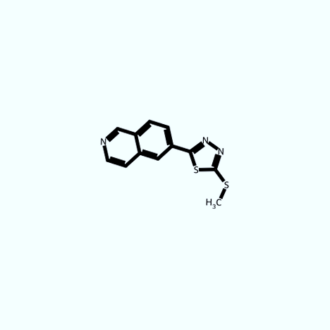 CSc1nnc(-c2ccc3cnccc3c2)s1